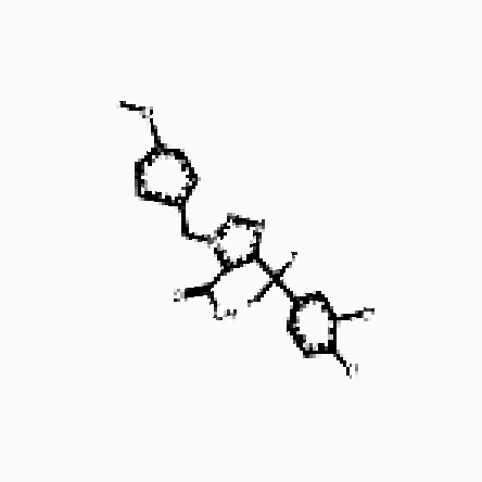 COc1ccc(Cn2nnc(C(F)(F)c3ccc(Cl)c(Cl)c3)c2C(=O)O)cc1